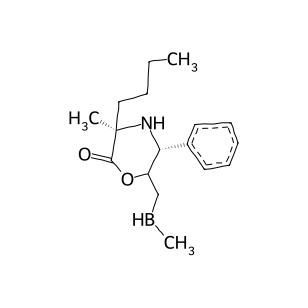 CBCC1OC(=O)[C@@](C)(CCCC)N[C@@H]1c1ccccc1